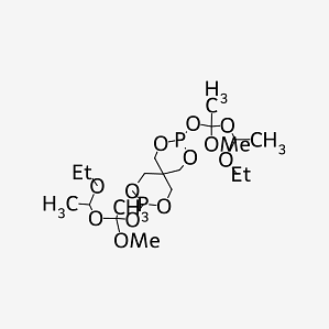 CCOC(C)OC(C)(OC)OP1OCC2(CO1)COP(OC(C)(OC)OC(C)OCC)OC2